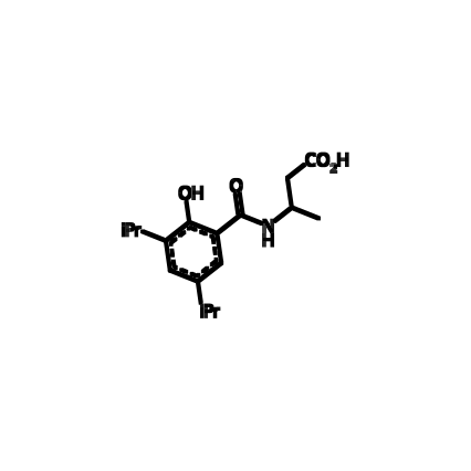 CC(CC(=O)O)NC(=O)c1cc(C(C)C)cc(C(C)C)c1O